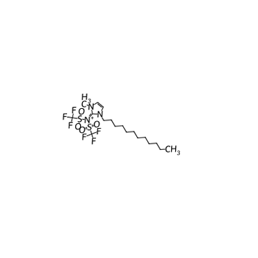 CCCCCCCCCCCCn1ccn(C)c1=[N+](S(=O)(=O)C(F)(F)F)S(=O)(=O)C(F)(F)F